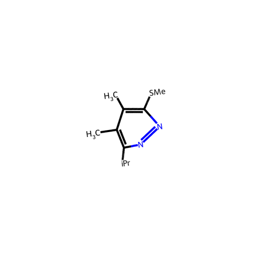 CSc1nnc(C(C)C)c(C)c1C